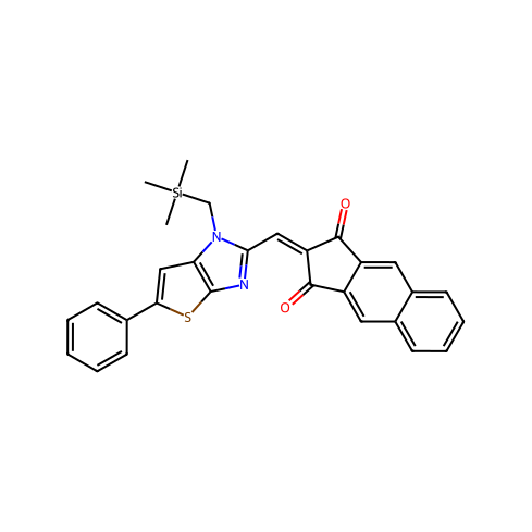 C[Si](C)(C)Cn1c(C=C2C(=O)c3cc4ccccc4cc3C2=O)nc2sc(-c3ccccc3)cc21